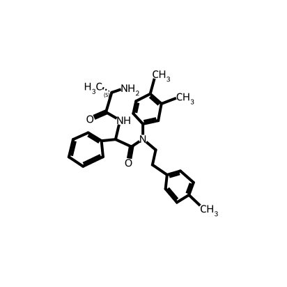 Cc1ccc(CCN(C(=O)C(NC(=O)[C@H](C)N)c2ccccc2)c2ccc(C)c(C)c2)cc1